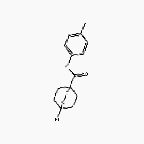 CCC12CCC(C(=O)Oc3ccc(C)cc3)(CC1)CC2